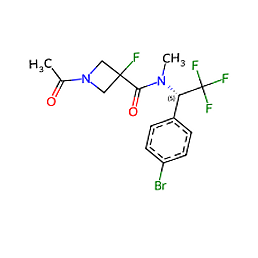 CC(=O)N1CC(F)(C(=O)N(C)[C@@H](c2ccc(Br)cc2)C(F)(F)F)C1